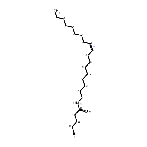 CCCCCCCC/C=C\CCCCCCCCNC(=O)CCCBr